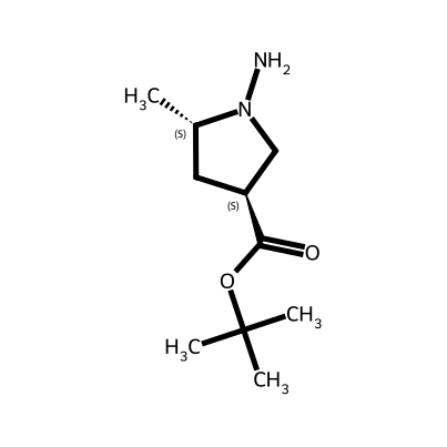 C[C@H]1C[C@H](C(=O)OC(C)(C)C)CN1N